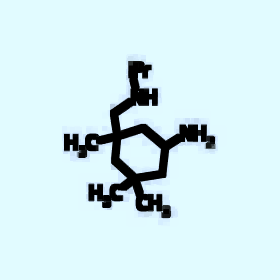 CC(C)NCC1(C)CC(N)CC(C)(C)C1